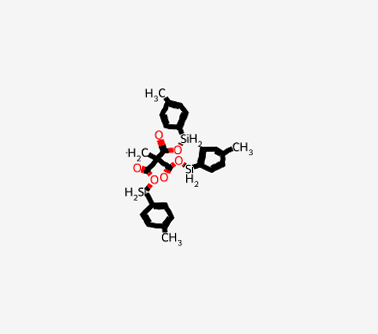 [CH2]C(C(=O)O[SiH2]c1ccc(C)cc1)(C(=O)O[SiH2]c1ccc(C)cc1)C(=O)O[SiH2]c1ccc(C)cc1